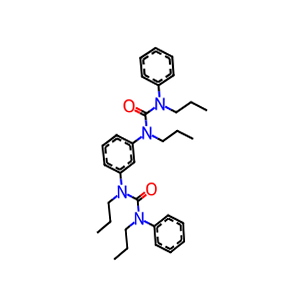 CCCN(C(=O)N(CCC)c1cccc(N(CCC)C(=O)N(CCC)c2ccccc2)c1)c1ccccc1